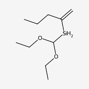 C=C(CCC)[SiH2]C(OCC)OCC